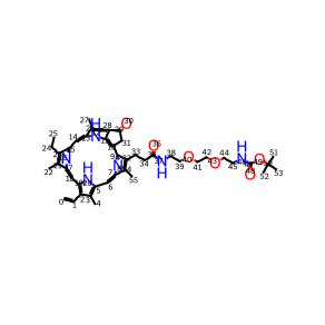 C=Cc1c(C)c2cc3nc(c4c5[nH]c(cc6nc(cc1[nH]2)C(C)=C6CC)c(C)c5C(=O)C4)C(CCC(=O)NCCOCCOCCNC(=O)OC(C)(C)C)=C3C